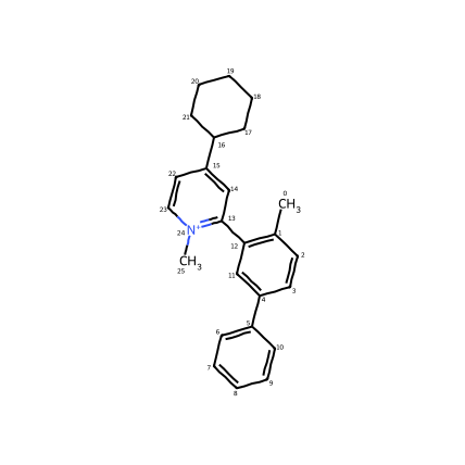 Cc1ccc(-c2ccccc2)cc1-c1cc(C2CCCCC2)cc[n+]1C